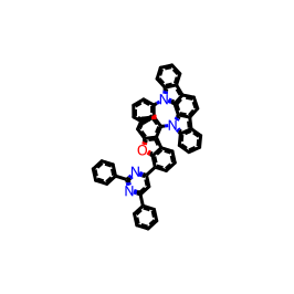 c1ccc(-c2cc(-c3cccc4c3oc3cccc(-n5c6ccccc6c6ccc7c8ccccc8n(-c8ccccc8)c7c65)c34)nc(-c3ccccc3)n2)cc1